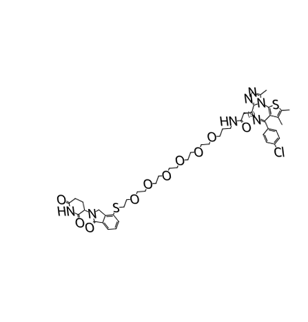 Cc1sc2c(c1C)C(c1ccc(Cl)cc1)=N[C@@H](CC(=O)NCCCOCCOCCOCCOCCOCCOCCSc1cccc3c1CN(C1CCC(=O)NC1=O)C3=O)c1nnc(C)n1-2